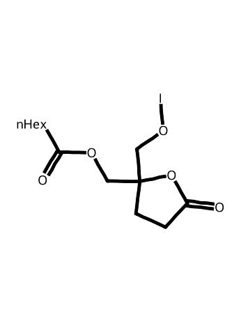 CCCCCCC(=O)OCC1(COI)CCC(=O)O1